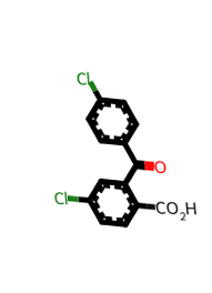 O=C(O)c1ccc(Cl)cc1C(=O)c1ccc(Cl)cc1